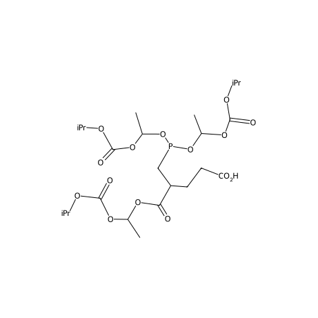 CC(C)OC(=O)OC(C)OC(=O)C(CCC(=O)O)CP(OC(C)OC(=O)OC(C)C)OC(C)OC(=O)OC(C)C